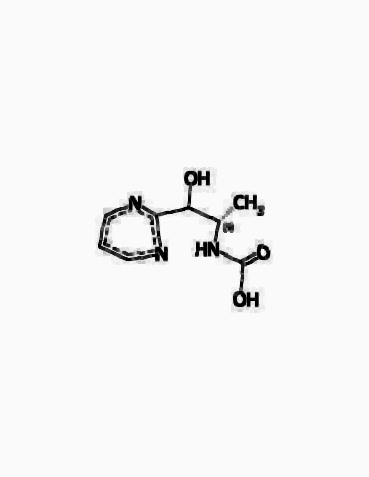 C[C@H](NC(=O)O)C(O)c1ncccn1